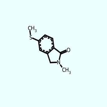 CSc1ccc2c(c1)CN(C)C2=O